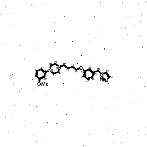 COc1cccc(N2CCN(CCCCOc3cccc(Cn4ccnn4)c3)CC2)c1